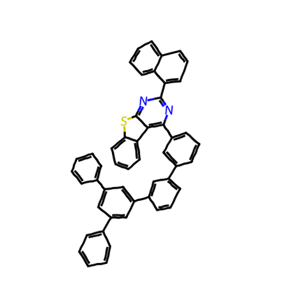 c1ccc(-c2cc(-c3ccccc3)cc(-c3cccc(-c4cccc(-c5nc(-c6cccc7ccccc67)nc6sc7ccccc7c56)c4)c3)c2)cc1